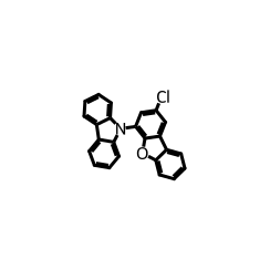 Clc1cc(-n2c3ccccc3c3ccccc32)c2oc3ccccc3c2c1